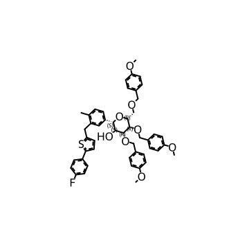 COc1ccc(COC[C@H]2O[C@@H](c3ccc(C)c(Cc4ccc(-c5ccc(F)cc5)s4)c3)[C@H](O)[C@@H](OCc3ccc(OC)cc3)[C@@H]2OCc2ccc(OC)cc2)cc1